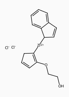 OCCOC1=[C]([Zr+2][CH]2C=Cc3ccccc32)CC=C1.[Cl-].[Cl-]